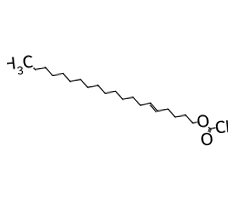 CCCCCCCCCCCCCC/C=C/CCCCOC(C)=O